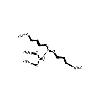 CCCCCCCCCCCCCOP(OCCCCCCCCCCCCC)OP(OCCCC)OCCCC